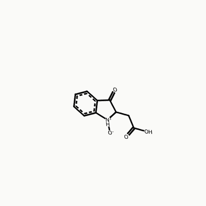 O=C(O)CC1C(=O)c2ccccc2[NH+]1[O-]